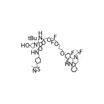 Cc1ncsc1-c1ccc(CNC(=O)[C@@H]2C[C@@H](O)CN2C(=O)[C@@H](NC(=O)COCC(F)(F)COCCCOc2cc(F)c([C@@H]3c4[nH]c5ccccc5c4C[C@@H](C)N3CC(C)(C)F)c(F)c2)C(C)(C)C)cc1